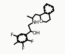 Cc1c(F)cc(C(O)CNC(C)CC2OCCc3ccccc32)c(F)c1F